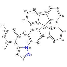 Cc1cc(C)c(-c2ccnn2-c2ccc3c(c2)-c2ccccc2C32c3ccccc3-c3ccccc32)c(C)c1